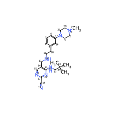 CN1CCN(c2cccc(CCNCc3cnc(C#N)nc3NCC(C)(C)C)c2)CC1